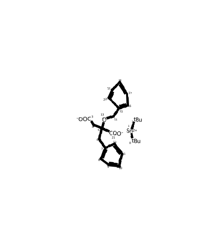 C[C](C)(C)[Sn+2][C](C)(C)C.O=C([O-])CC(Cc1ccccc1)(OCc1ccccc1)C(=O)[O-]